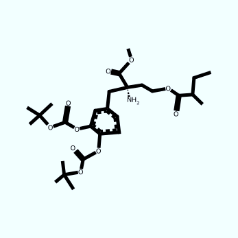 CCC(C)C(=O)OCC[C@@](N)(Cc1ccc(OC(=O)OC(C)(C)C)c(OC(=O)OC(C)(C)C)c1)C(=O)OC